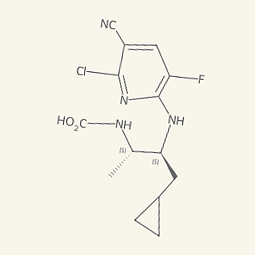 C[C@H](NC(=O)O)[C@H](CC1CC1)Nc1nc(Cl)c(C#N)cc1F